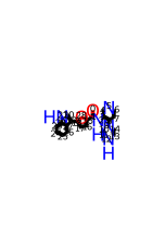 O=C(Nc1cnccc1N1CCNCC1)c1ccc(-c2c[nH]c3ccccc23)o1